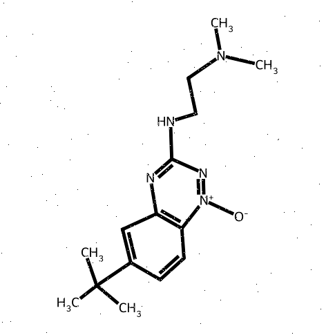 CN(C)CCNc1nc2cc(C(C)(C)C)ccc2[n+]([O-])n1